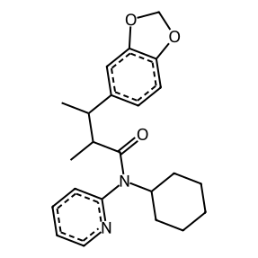 CC(C(=O)N(c1ccccn1)C1CCCCC1)C(C)c1ccc2c(c1)OCO2